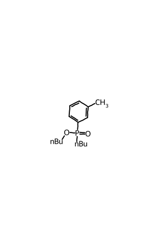 CCCCOP(=O)(CCCC)c1cccc(C)c1